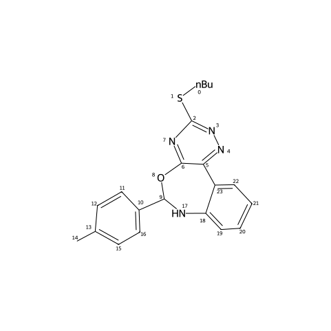 CCCCSc1nnc2c(n1)OC(c1ccc(C)cc1)Nc1ccccc1-2